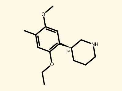 CCOc1cc(C)c(OC)cc1[C@@H]1CCCNC1